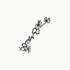 COC(=O)CCCN(C(=O)OC(C)(C)C)C1CCCc2c(/C(C)=N/OCc3ccc(OC(C)C)c(C(F)(F)F)c3)cccc21